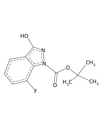 CC(C)(C)OC(=O)n1nc(O)c2cccc(F)c21